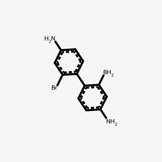 Bc1cc(N)ccc1-c1ccc(N)cc1Br